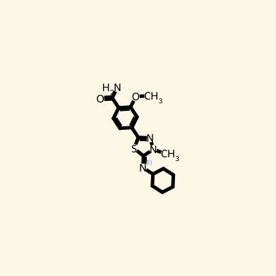 COc1cc(-c2nn(C)/c(=N\C3CCCCC3)s2)ccc1C(N)=O